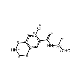 C[C@@H](C=O)NC(=O)c1cc2c(cc1Cl)CNCC2